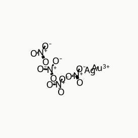 O=[N+]([O-])[O-].O=[N+]([O-])[O-].O=[N+]([O-])[O-].O=[N+]([O-])[O-].[Ag+].[Au+3]